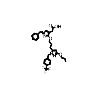 CCCOc1cc(CCCOc2nn(Cc3ccccc3)cc2CC(=O)O)n(Cc2ccc(C(F)(F)F)cc2)n1